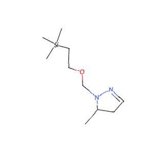 CC1CC=NN1COCC[Si](C)(C)C